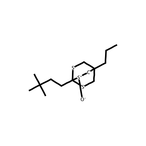 CCCC12CSC(CCC(C)(C)C)(SC1)[S+]([O-])C2